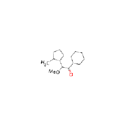 COC(C(=O)C1CCCCC1)C1CCCC1C